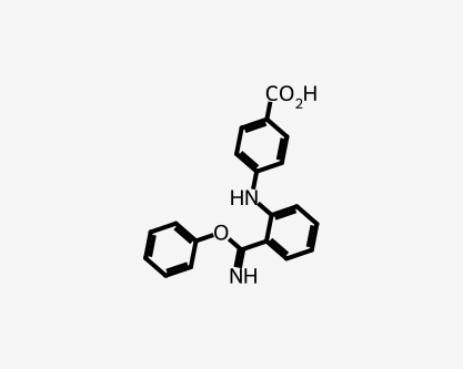 N=C(Oc1ccccc1)c1ccccc1Nc1ccc(C(=O)O)cc1